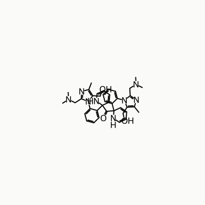 Cc1nc(CN(C)C)n(-c2ccccc2C2(C(=O)C3(c4ccccc4-n4c(CN(C)C)nc(C)c4CO)C=CC=CN3)C=CC=CN2)c1CO